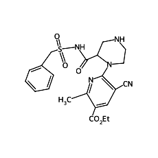 CCOC(=O)c1cc(C#N)c(N2CCNCC2C(=O)NS(=O)(=O)Cc2ccccc2)nc1C